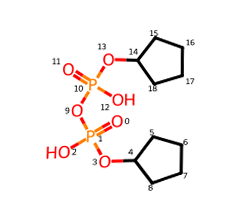 O=P(O)(OC1CCCC1)OP(=O)(O)OC1CCCC1